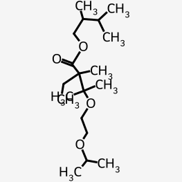 CCC(C)(C(=O)OCC(C)C(C)C)C(C)(C)OCCOC(C)C